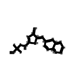 CC(C)(O)CNC1=NC(=O)/C(=C/c2ccc3ncccc3c2)S1